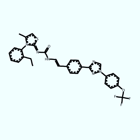 CCc1ccccc1-n1c(C)cs/c1=N\C(=O)N/C=C/c1ccc(-c2ncn(-c3ccc(OC(F)(F)F)cc3)n2)cc1